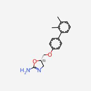 Cc1cccc(-c2ccc(OC[C@@H]3CN=C(N)O3)cc2)c1C